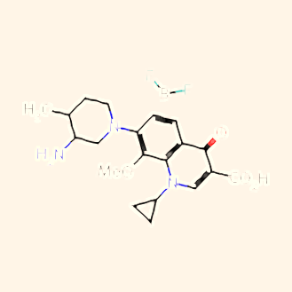 COc1c(N2CCC(C)C(N)C2)ccc2c(=O)c(C(=O)O)cn(C3CC3)c12.F[B]F